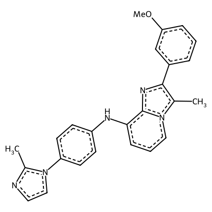 COc1cccc(-c2nc3c(Nc4ccc(-n5ccnc5C)cc4)cccn3c2C)c1